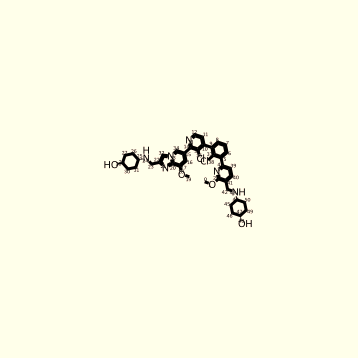 COc1nc(-c2cccc(-c3ccnc(-c4cc(OC)c5nc(CN[C@H]6CC[C@H](O)CC6)cn5c4)c3Cl)c2Cl)ccc1CN[C@H]1CC[C@@H](O)CC1